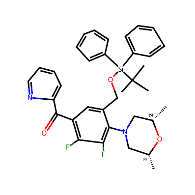 C[C@@H]1CN(c2c(CO[Si](c3ccccc3)(c3ccccc3)C(C)(C)C)cc(C(=O)c3ccccn3)c(F)c2F)C[C@H](C)O1